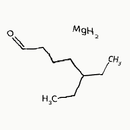 CCC(CC)CCCC=O.[MgH2]